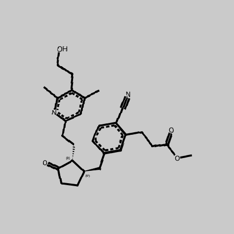 COC(=O)CCc1cc(C[C@H]2CCC(=O)[C@@H]2CCc2cc(C)c(CCO)c(C)n2)ccc1C#N